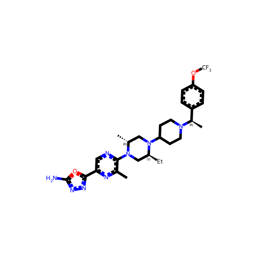 CC[C@H]1CN(c2ncc(-c3nnc(N)o3)nc2C)[C@H](C)CN1C1CCN([C@H](C)c2ccc(OC(F)(F)F)cc2)CC1